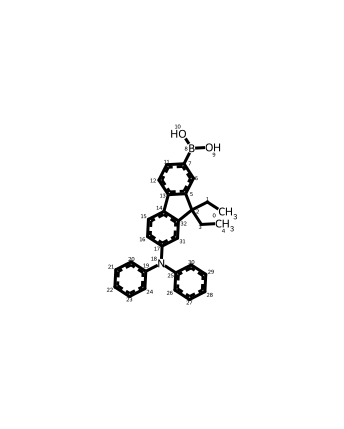 CCC1(CC)c2cc(B(O)O)ccc2-c2ccc(N(c3ccccc3)c3ccccc3)cc21